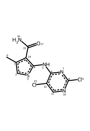 Cc1csc(Nc2nc(Cl)ncc2Cl)c1C(N)=O